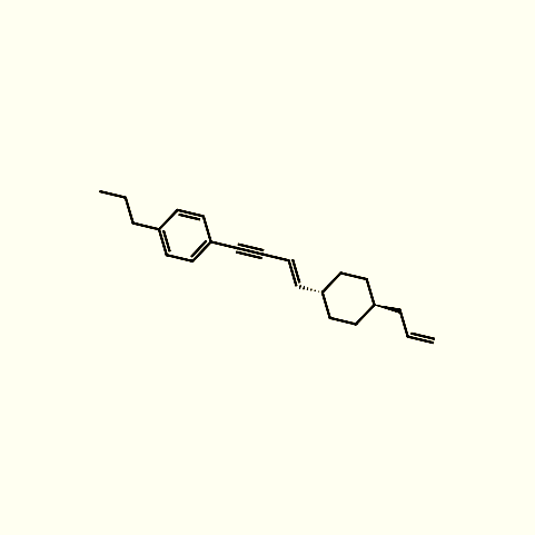 C=CC[C@H]1CC[C@H](/C=C/C#Cc2ccc(CCC)cc2)CC1